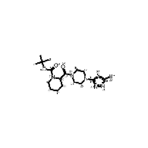 CC(C)(C)OC(=O)N1CCCCC1C(=O)N1CCN(c2nnc(Br)s2)CC1